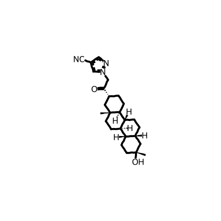 C[C@@]1(O)CC[C@H]2[C@H](CC[C@@H]3[C@@H]2CC[C@]2(C)C[C@H](C(=O)Cn4cc(C#N)cn4)CC[C@@H]32)C1